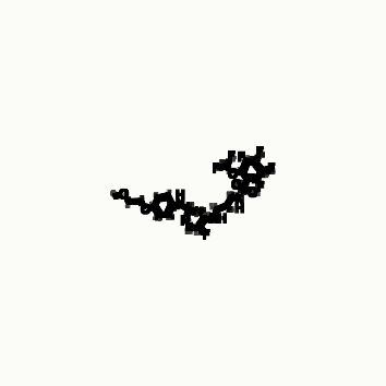 COCCOc1ccc(Nc2ncc(F)c(NCCCNS(=O)(=O)c3c(F)c(F)c(F)c(F)c3OC(F)F)n2)cc1